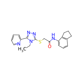 CCn1c(SCC(=O)Nc2cccc3c2CCC3)nnc1-c1ccccn1